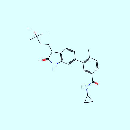 CCCC(C)(O)CCC1C(=O)Nc2cc(-c3cc(C(=O)NC4CC4)ccc3C)ccc21